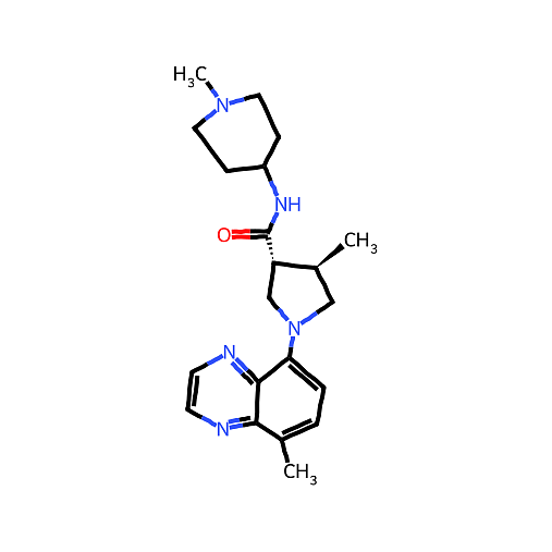 Cc1ccc(N2C[C@H](C(=O)NC3CCN(C)CC3)[C@@H](C)C2)c2nccnc12